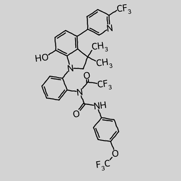 CC1(C)CN(c2ccccc2N(C(=O)Nc2ccc(OC(F)(F)F)cc2)C(=O)C(F)(F)F)c2c(O)ccc(-c3ccc(C(F)(F)F)nc3)c21